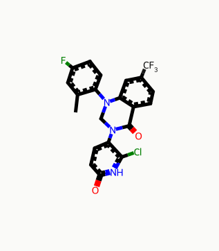 Cc1cc(F)ccc1N1CN(c2ccc(=O)[nH]c2Cl)C(=O)c2ccc(C(F)(F)F)cc21